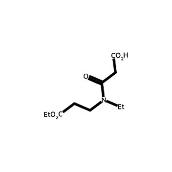 CCOC(=O)CCN(CC)C(=O)CC(=O)O